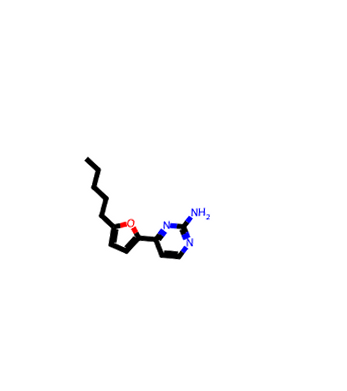 CCCCCc1ccc(-c2ccnc(N)n2)o1